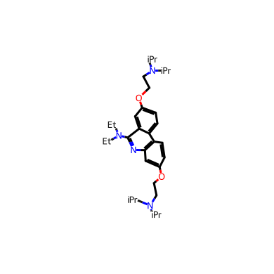 CCN(CC)c1nc2cc(OCCN(C(C)C)C(C)C)ccc2c2ccc(OCCN(C(C)C)C(C)C)cc12